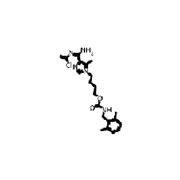 C=C(Cl)/N=C(/N)c1ncn(CCCCOC(=O)NCc2c(C)cccc2C)c1C